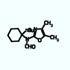 CCCCC1(N(C=O)c2nc(C)c(C)o2)CCCCC1